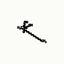 CCCCCCCCCCCCCCCC(=O)C(CC)N(OCCO)OCCO